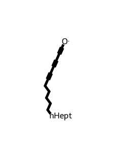 CCCCCCCCCCCCC#CC#CC#C[O]